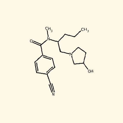 CCCC(CN1CCC(O)C1)N(C)C(=O)c1ccc(C#N)cc1